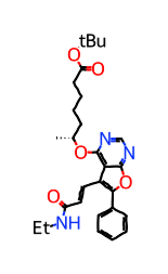 CCNC(=O)/C=C/c1c(-c2ccccc2)oc2ncnc(O[C@H](C)CCCCC(=O)OC(C)(C)C)c12